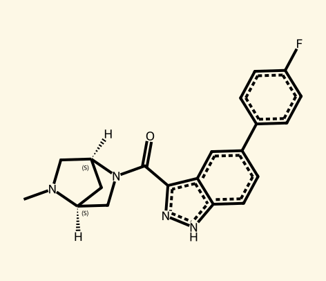 CN1C[C@@H]2C[C@H]1CN2C(=O)c1n[nH]c2ccc(-c3ccc(F)cc3)cc12